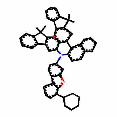 CC1(C)c2ccccc2-c2cc(N(c3ccc4c(c3)oc3c(C5CCCCC5)cccc34)c3ccc4ccccc4c3-c3ccc4c(c3)C(C)(C)c3ccccc3-4)ccc21